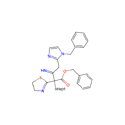 CCCCCCCC(C(=N)Cc1nccn1Cc1ccccc1)(C(=O)OCc1ccccc1)C1=NCCS1